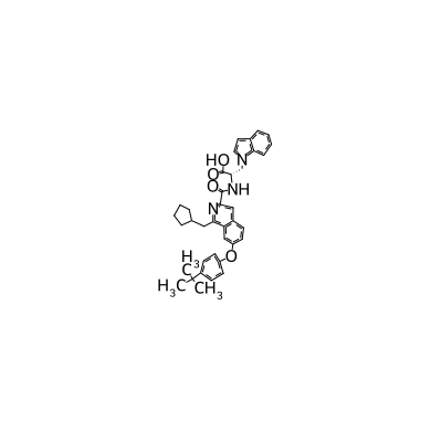 CC(C)(C)c1ccc(Oc2ccc3cc(C(=O)N[C@@H](Cn4ccc5ccccc54)C(=O)O)nc(CC4CCCC4)c3c2)cc1